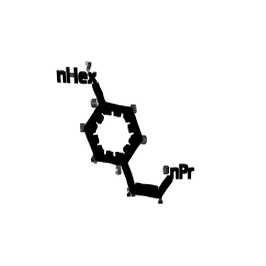 CCC/C=[C]\c1ccc(CCCCCC)cc1